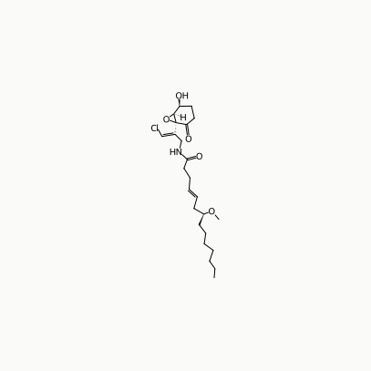 CCCCCCC[C@@H](C/C=C/CCC(=O)NC/C(=C/Cl)[C@]12O[C@H]1[C@@H](O)CCC2=O)OC